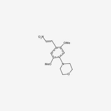 COc1cc(N2CCOCC2)c(OC)cc1C=C[N+](=O)[O-]